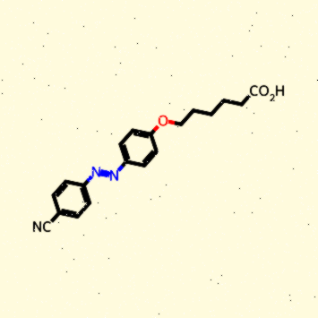 N#Cc1ccc(N=Nc2ccc(OCCCCCC(=O)O)cc2)cc1